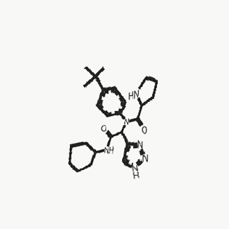 CC(C)(C)c1ccc(N(C(=O)C2CCCN2)C(C(=O)NC2CCCCC2)c2c[nH]nn2)cc1